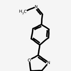 C/N=C\c1ccc(C2=NCCO2)cc1